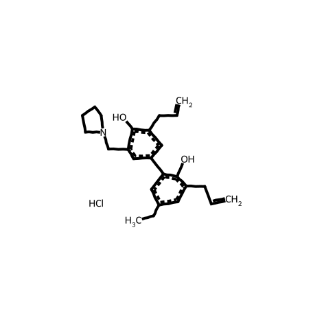 C=CCc1cc(-c2cc(CC)cc(CC=C)c2O)cc(CN2CCCC2)c1O.Cl